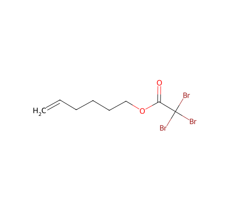 C=CCCCCOC(=O)C(Br)(Br)Br